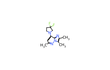 Cc1cc(N2CCC(F)(F)C2)c2nc(C)c(C)n2n1